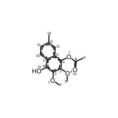 COc1c(OC)c(OC(C)=O)c2cc(C)ccc2c1O